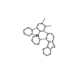 Cc1cc2c(c(-c3ccc4sc5ccccc5c4c3-c3ccccn3)c1C)Cc1ccccc1-2